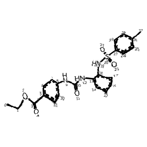 CCOC(=O)c1ccc(NC(=O)Nc2ccccc2NS(=O)(=O)c2ccc(C)cc2)cc1